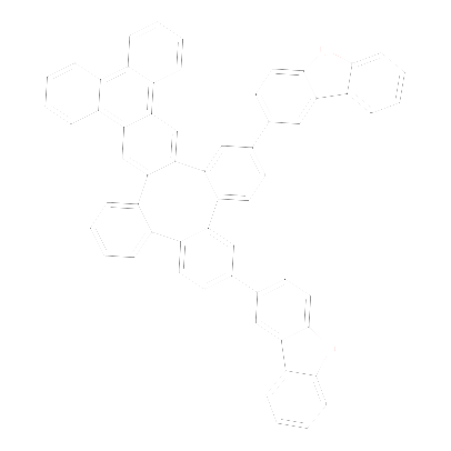 c1ccc2c(c1)-c1ccc(-c3ccc4oc5ccccc5c4c3)cc1-c1ccc(-c3ccc4oc5ccccc5c4c3)cc1-c1cc3c4ccccc4c4ccccc4c3cc1-2